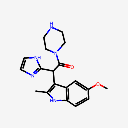 COc1ccc2[nH]c(C)c(C(C(=O)N3CCNCC3)c3ncc[nH]3)c2c1